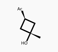 CC(=O)[C@H]1C[C@](C)(O)C1